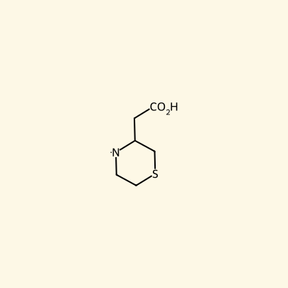 O=C(O)CC1CSCC[N]1